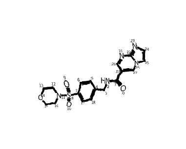 O=C(NCc1ccc(S(=O)(=O)N2CCOCC2)cc1)c1cnc2nccn2c1